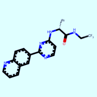 CC(C)[C@@H](Nc1ccnc(-c2ccc3ncccc3c2)n1)C(=O)NCC(F)(F)F